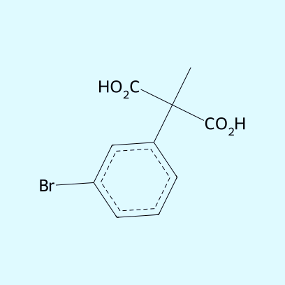 CC(C(=O)O)(C(=O)O)c1cccc(Br)c1